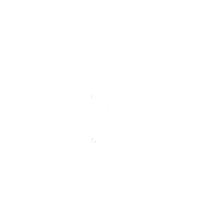 CCOP(=O)(CC#N)CC=O